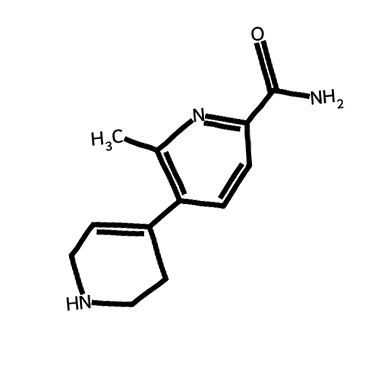 Cc1nc(C(N)=O)ccc1C1=CCNCC1